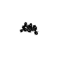 c1ccc(-n2c3ccccc3c3cc([Si](c4ccccc4)(c4ccccc4)c4ccc(-n5c6ccccc6c6ccc7c(c8ccccc8n7-c7ccccc7)c65)cc4)ccc32)cc1